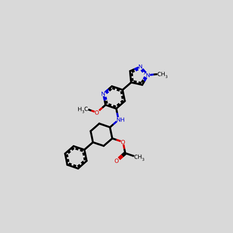 COc1ncc(-c2cnn(C)c2)cc1NC1CCC(c2ccccc2)CC1OC(C)=O